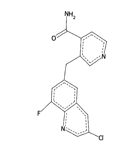 NC(=O)c1ccncc1Cc1cc(F)c2ncc(Cl)cc2c1